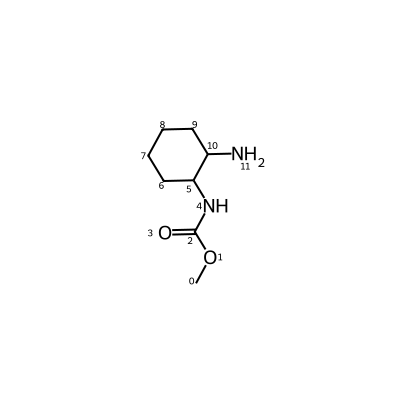 COC(=O)NC1CCCCC1N